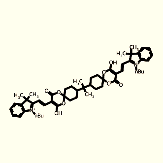 CCCC[N+]1=C(/C=C/C2=C(O)OC3(CCC(C(C)(C)C4CCC5(CC4)OC(=O)C(/C=C/C4=[N+](CCCC)c6ccccc6C4(C)C)=C(O)O5)CC3)OC2=O)C(C)(C)c2ccccc21